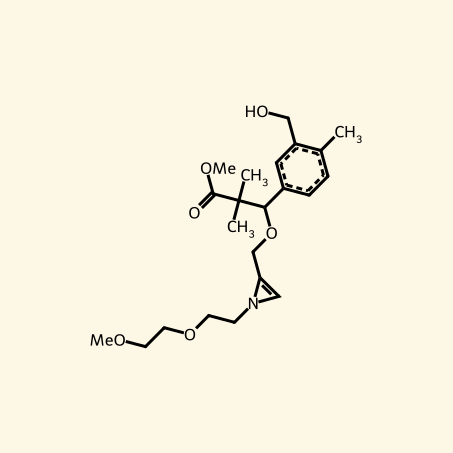 COCCOCCN1C=C1COC(c1ccc(C)c(CO)c1)C(C)(C)C(=O)OC